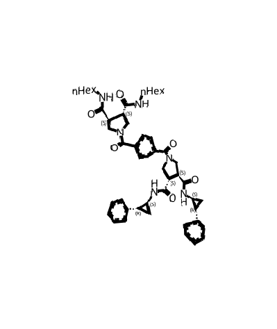 CCCCCCNC(=O)[C@@H]1CN(C(=O)c2ccc(C(=O)N3C[C@@H](C(=O)N[C@H]4C[C@@H]4c4ccccc4)[C@H](C(=O)N[C@H]4C[C@@H]4c4ccccc4)C3)cc2)C[C@H]1C(=O)NCCCCCC